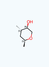 C[C@H]1C[C@H](C)[C@@H](O)CO1